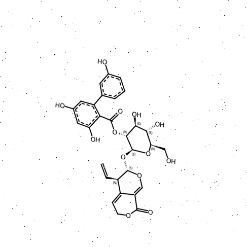 C=C[C@@H]1C2=CCOC(=O)C2=CO[C@H]1O[C@@H]1O[C@H](CO)[C@@H](O)[C@H](O)[C@H]1OC(=O)c1c(O)cc(O)cc1-c1cccc(O)c1